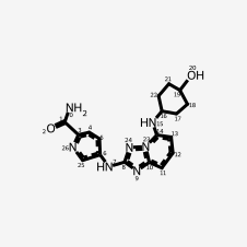 NC(=O)c1ccc(Nc2nc3cccc(NC4CCC(O)CC4)n3n2)cn1